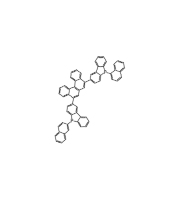 c1ccc2cc(-p3c4ccccc4c4cc(-c5cc6cc(-c7ccc8c(c7)c7ccccc7p8-c7cccc8ccccc78)c7ccccc7c6c6ccccc56)ccc43)ccc2c1